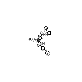 O=C(Nc1nn(C(=O)O)c2sc(C(=O)N[C@H](CN3CCCC3)c3ccccc3)cc12)c1ccc(N2CCOCC2)cc1